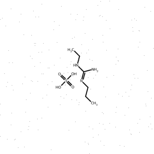 CCC/N=C(\N)NCC.O=S(=O)(O)O